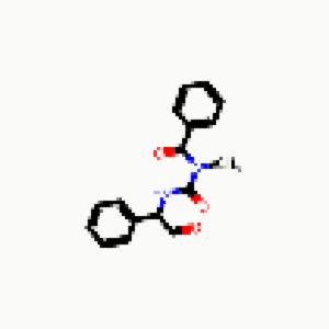 CN(C(=O)NC(C=O)c1ccccc1)C(=O)c1ccccc1